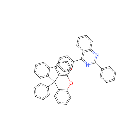 c1ccc(-c2nc(-c3ccc(-c4ccccc4C4(c5ccccc5)c5ccccc5Oc5ccccc54)cc3)c3ccccc3n2)cc1